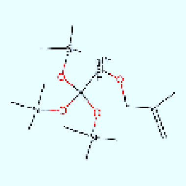 C=C(C)CO[SiH](CCC)C(O[Si](C)(C)C)(O[Si](C)(C)C)O[Si](C)(C)C